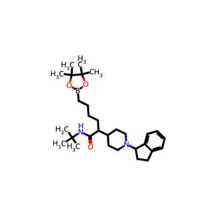 CC(C)(C)NC(=O)C(CCCCB1OC(C)(C)C(C)(C)O1)C1CCN(C2CCc3ccccc32)CC1